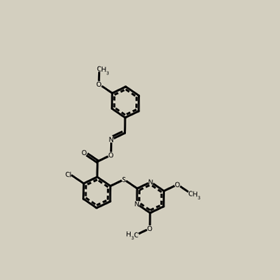 COc1cccc(/C=N/OC(=O)c2c(Cl)cccc2Sc2nc(OC)cc(OC)n2)c1